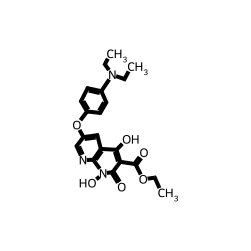 CCOC(=O)c1c(O)c2cc(Oc3ccc(N(CC)CC)cc3)cnc2n(O)c1=O